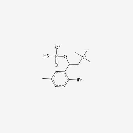 Cc1ccc(C(C)C)c(C(C[N+](C)(C)C)OP(=O)([O-])S)c1